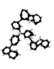 c1cc(-c2cccc3c2oc2ccccc23)cc(N(c2ccc(-c3cccc4ccccc34)cc2)c2cccc(-c3cccc4c3sc3ccccc34)c2)c1